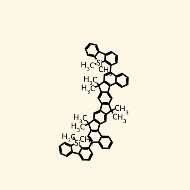 CC1(C)c2cc3c(cc2-c2cc4c(cc21)-c1c(cc(-c2cccc5c2[Si](C)(C)c2ccccc2-5)c2ccccc12)C4(C)C)C(C)(C)c1cc(-c2cccc4c2[Si](C)(C)c2ccccc2-4)c2ccccc2c1-3